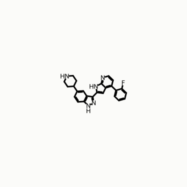 Fc1ccccc1-c1ccnc2[nH]c(-c3n[nH]c4ccc(C5CCNCC5)cc34)cc12